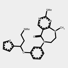 CNCCC(Oc1cccc(N2CCN(C)c3nc(SC)ncc3C2=O)c1)c1cccs1